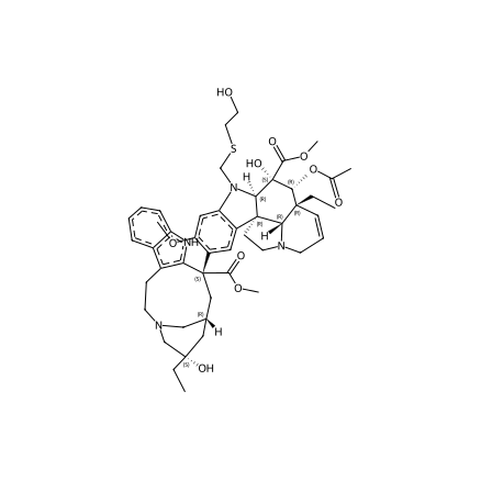 CC[C@]1(O)C[C@@H]2CN(CCc3c([nH]c4ccccc34)[C@@](C(=O)OC)(c3cc4c(cc3OC)N(CSCCO)[C@H]3[C@@](O)(C(=O)OC)[C@H](OC(C)=O)[C@]5(CC)C=CCN6CC[C@]43[C@@H]65)C2)C1